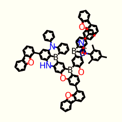 Cc1cc(C)c(N2c3cc4c(cc3B3c5ccccc5N(c5ccccc5)c5cc(-c6cccc7c6oc6ccccc67)cc2c53)B2c3cc5c(cc3Oc3cc(-c6cccc7c6oc6ccccc67)cc(c32)O4)Nc2cc(-c3cccc4c3oc3ccccc34)cc3c2B5c2ccccc2N3c2ccccc2)c(C)c1